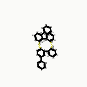 c1ccc(-c2ccc3c(c2)-c2ccccc2Sc2ccccc2-c2c(cccc2-c2ccccc2)S3)cc1